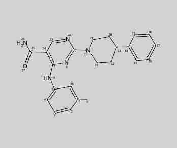 Cc1cccc(Nc2nc(N3CCC(c4ccccc4)CC3)ncc2C(N)=O)c1